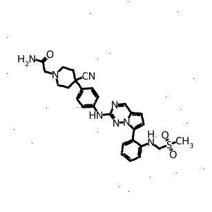 CS(=O)(=O)CNc1ccccc1-c1ccc2cnc(Nc3ccc(C4(C#N)CCN(CC(N)=O)CC4)cc3)nn12